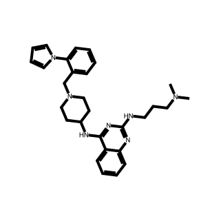 CN(C)CCCNc1nc(NC2CCN(Cc3ccccc3-n3cccc3)CC2)c2ccccc2n1